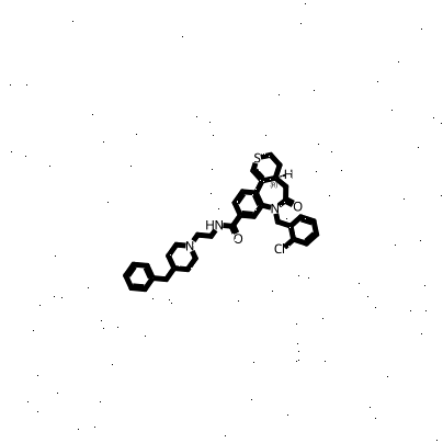 O=C(NCCN1CCC(Cc2ccccc2)CC1)c1ccc2c(c1)N(CC1C=CC=CC1Cl)C(=O)C[C@@H]1CCSC=C21